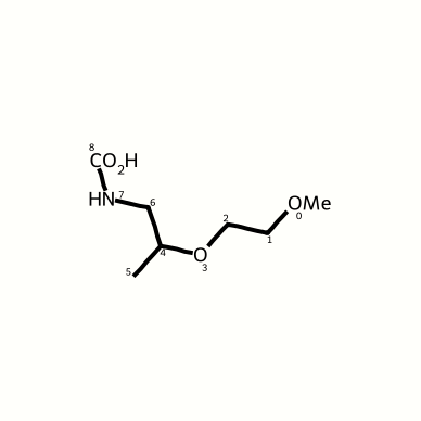 COCCOC(C)CNC(=O)O